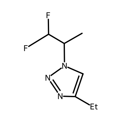 CCc1cn(C(C)C(F)F)nn1